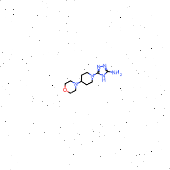 Nc1nnc(N2CCC(N3CCOCC3)CC2)[nH]1